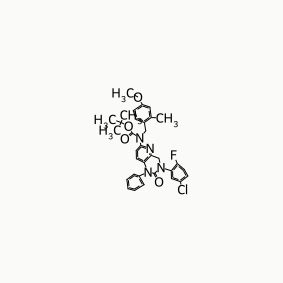 COc1ccc(CN(C(=O)OC(C)(C)C)c2ccc3c(n2)CN(c2cc(Cl)ccc2F)C(=O)N3c2ccccc2)c(C)c1